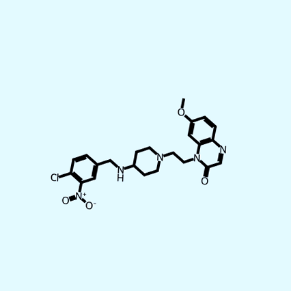 COc1ccc2ncc(=O)n(CCN3CCC(NCc4ccc(Cl)c([N+](=O)[O-])c4)CC3)c2c1